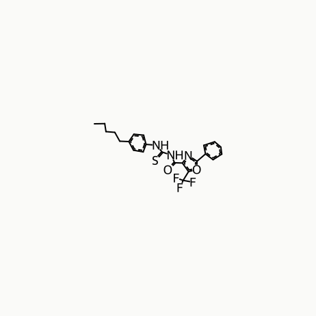 CCCCCc1ccc(NC(=S)NC(=O)c2nc(-c3ccccc3)oc2C(F)(F)F)cc1